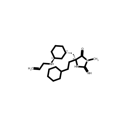 C=CCN[C@H]1CCC[C@H](C[C@@]2(CCC3CCCCC3)NC(=N)N(C)C2=O)C1